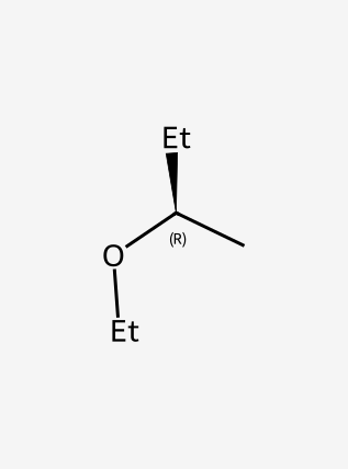 CCO[C@H](C)CC